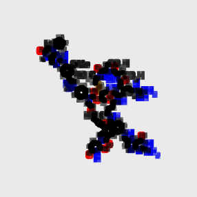 CC[C@@H]1C(=O)N(C)c2cnc(Nc3ccc(-c4cn([C@H]5CC[C@@H](N(CCOCCC#Cc6cccc7c6CN(C6CCC(=O)NC6=O)C7=O)C(=O)OC(C)C(C)SSC[C@@H](NC(=O)[C@@H](CC(=O)O)NC(=O)[C@@H](CC(=O)O)NC(=O)[C@@H](CCCNC(=N)N)NC(=O)[C@@H](CC(=O)O)NC(=O)CC[C@H](NC(=O)c6ccc(NCc7cnc8nc(N)[nH]c(=O)c8n7)cc6)C(=O)O)C(=O)O)CC5)nn4)cc3OC)nc2N1C1CCCC1